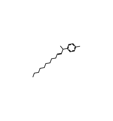 CCCCCCCCCC=CC(C)c1ccc(C)cc1